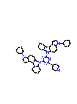 c1ccc(-n2ccc3c4c5ccccc5n(-c5nc(-c6ccncc6)nc(-n6c7ccccc7c7c8ccn(-c9ccccc9)c8ccc76)n5)c4ccc32)cc1